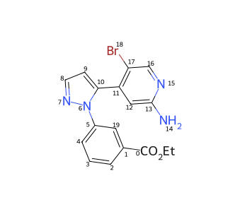 CCOC(=O)c1cccc(-n2nccc2-c2cc(N)ncc2Br)c1